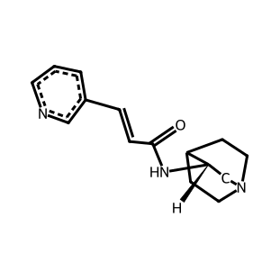 O=C(/C=C/c1cccnc1)N[C@H]1CN2CCC1CC2